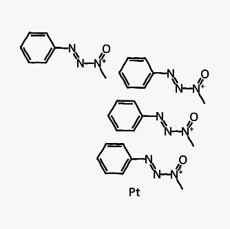 C[N+](=O)N=Nc1ccccc1.C[N+](=O)N=Nc1ccccc1.C[N+](=O)N=Nc1ccccc1.C[N+](=O)N=Nc1ccccc1.[Pt]